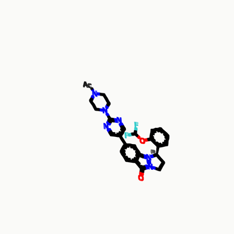 CC(=O)N1CCN(c2ncc(-c3ccc4c(=O)n5n(c4c3)[C@@H](c3ccccc3OC(F)F)CC5)cn2)CC1